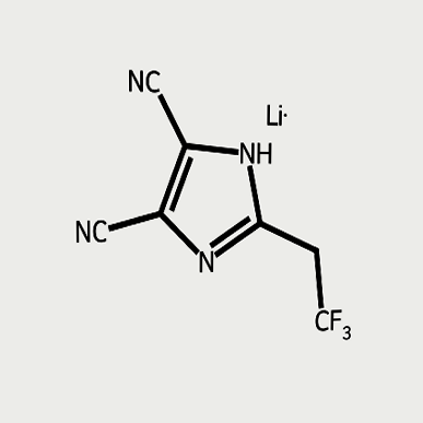 N#Cc1nc(CC(F)(F)F)[nH]c1C#N.[Li]